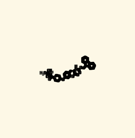 CC(C)(C)OC(=O)N1CCC(Oc2ccc(C[C@H](NC(=O)OCC3c4ccccc4-c4ccccc43)C(=O)O)cc2)CC1